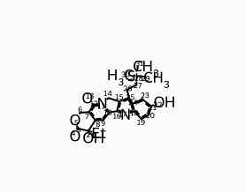 CC[C@@]1(O)C(=O)OCc2c1cc1n(c2=O)Cc2c-1nc1ccc(O)cc1c2CC[Si](C)(C)C